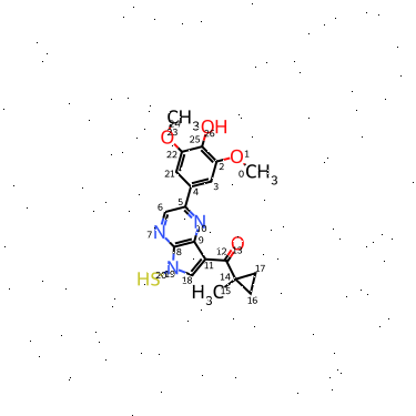 COc1cc(-c2cnc3c(n2)c(C(=O)C2(C)CC2)cn3S)cc(OC)c1O